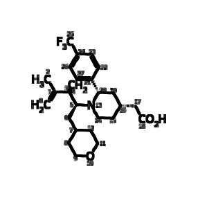 C=C(C)C(=C)[C@H](CC1CCOCC1)N1CC[C@@H](CC(=O)O)C[C@H]1c1ccc(C(F)(F)F)cc1